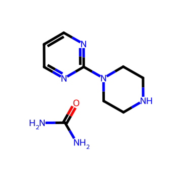 NC(N)=O.c1cnc(N2CCNCC2)nc1